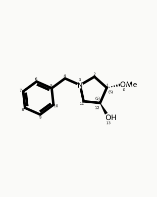 CO[C@H]1CN(Cc2ccccc2)C[C@@H]1O